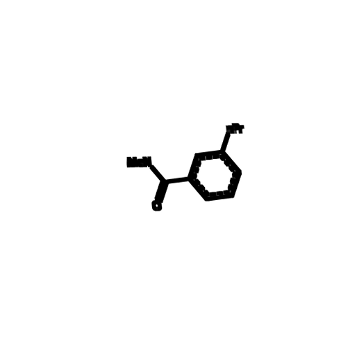 CCCc1cccc(C(=O)NC)c1